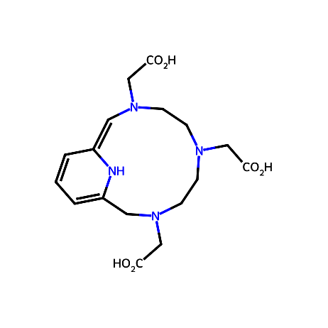 O=C(O)CN1/C=C2/C=CC=C(CN(CC(=O)O)CCN(CC(=O)O)CC1)N2